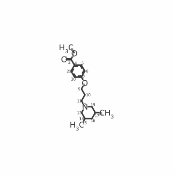 COC(=O)c1ccc(OCCCN2CC(C)CC(C)C2)cc1